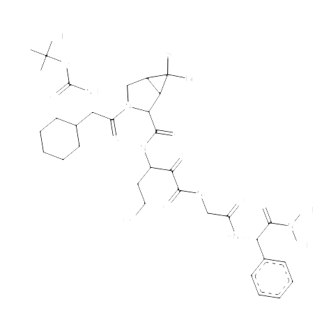 CCCC(NC(=O)C1C2C(CN1C(=O)[C@@H](NC(=O)OC(C)(C)C)C1CCCCC1)C2(Br)Br)C(=O)C(=O)NCC(=O)N[C@H](C(=O)N(C)C)c1ccccc1